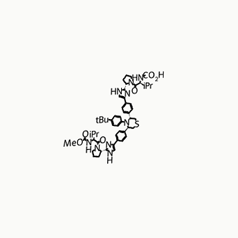 COC(=O)N[C@H](C(=O)N1CCC[C@H]1c1nc(-c2ccc([C@@H]3CSC[C@@H](c4ccc(-c5c[nH]c([C@@H]6CCCN6C(=O)[C@@H](NC(=O)O)C(C)C)n5)cc4)N3c3ccc(C(C)(C)C)cc3)cc2)c[nH]1)C(C)C